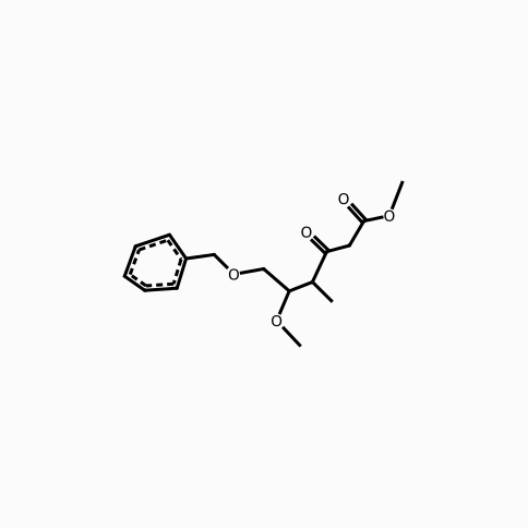 COC(=O)CC(=O)C(C)C(COCc1ccccc1)OC